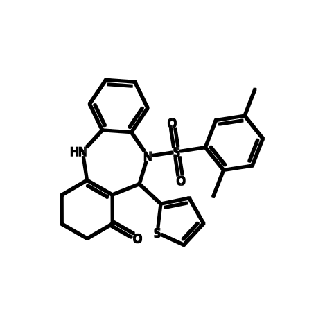 Cc1ccc(C)c(S(=O)(=O)N2c3ccccc3NC3=C(C(=O)CCC3)C2c2cccs2)c1